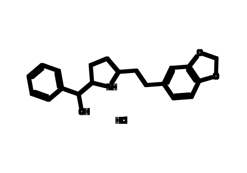 Cl.OC(c1ccccc1)C1CCC(CCc2ccc3c(c2)OCO3)N1